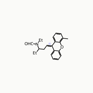 CCC(C/C=C1\c2ccccc2Oc2c(C)cccc21)N(C=O)CC